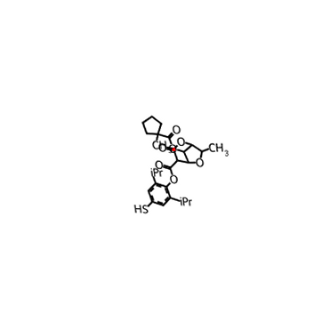 CC(C)c1cc(S)cc(C(C)C)c1OC(=O)C1C(=O)OC2C(C)OC1C2OC(=O)C1(C)CCCC1